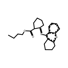 CCCCOC(=O)C1CCCCC1=Nc1c2c(nc3ccccc13)CCCC2